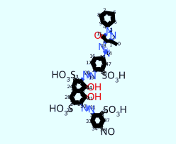 CC1=NN(c2ccccc2)C(=O)C1/N=N/c1ccc(/N=N/c2c(S(=O)(=O)O)cc3cc(S(=O)(=O)O)c(/N=N/c4ccc(N=O)cc4S(=O)(=O)O)c(O)c3c2O)c(S(=O)(=O)O)c1